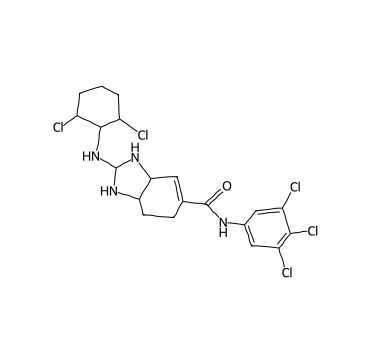 O=C(Nc1cc(Cl)c(Cl)c(Cl)c1)C1=CC2NC(NC3C(Cl)CCCC3Cl)NC2CC1